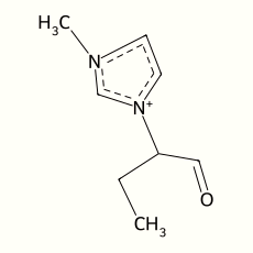 CCC(C=O)[n+]1ccn(C)c1